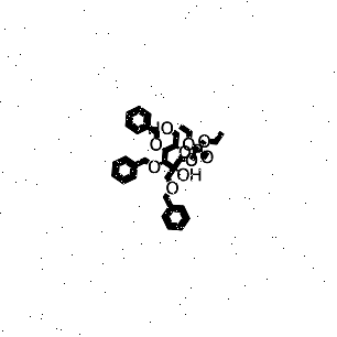 CCOP(=O)(OCC)OC[C@@](O)(COCc1ccccc1)[C@@H](OCc1ccccc1)[C@H](OCc1ccccc1)[C@H](O)CO